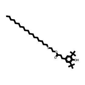 CCCCCCCCCCCCCCCCCCSCCOC(=O)CCc1cc(C(C)(C)C)c(O)c(C(C)(C)C)c1